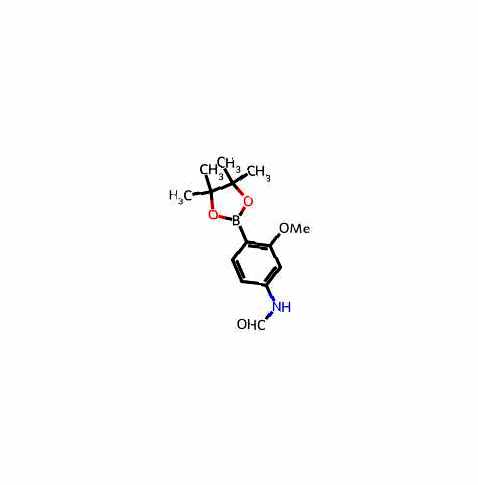 COc1cc(NC=O)ccc1B1OC(C)(C)C(C)(C)O1